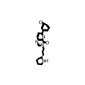 O=c1c2nc(-c3cccc(Cl)c3)ccc2ncn1CCC[C@@H]1CCCCN1